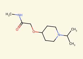 CNC(=O)COC1CCN(C(C)C)CC1